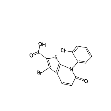 O=C(O)c1sc2c(ccc(=O)n2-c2ccccc2Cl)c1Br